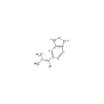 CC(C)=C(F)c1ccc2c(c1)OCO2